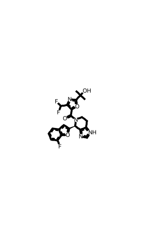 CC(C)(O)c1nc(C(F)F)c(C(=O)N2CCc3[nH]cnc3[C@H]2c2cc3cccc(F)c3o2)o1